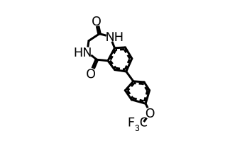 O=C1CNC(=O)c2cc(-c3ccc(OC(F)(F)F)cc3)ccc2N1